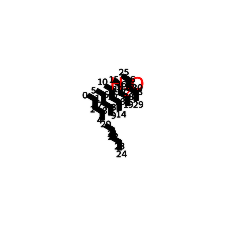 CCCCC.CCCCC.CCCCC.CCCCC.CCCCC.CCCCC.O